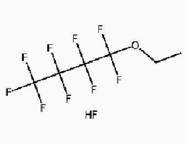 CCOC(F)(F)C(F)(F)C(F)(F)C(F)(F)F.F